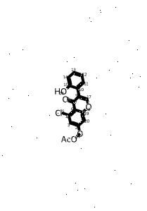 CC(=O)OOc1cc(Cl)c2c(=O)c(-c3ccccc3O)coc2c1